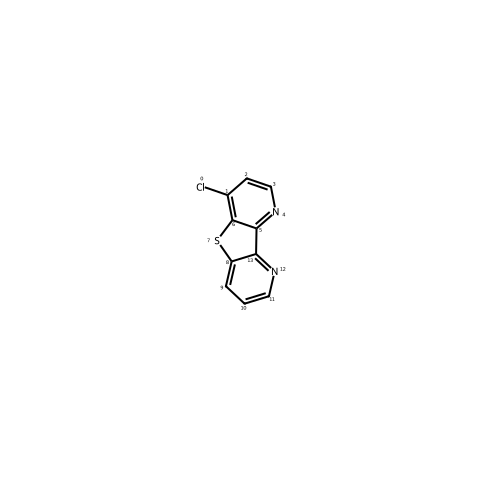 Clc1ccnc2c1sc1cccnc12